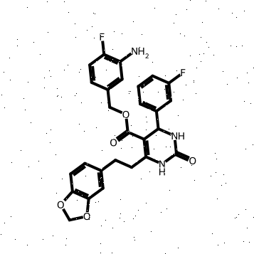 Nc1cc(COC(=O)C2=C(CCc3ccc4c(c3)OCO4)NC(=O)NC2c2cccc(F)c2)ccc1F